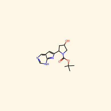 CC(C)(C)OC(=O)N1CC(O)CC1c1cc2cnc[nH]c-2n1